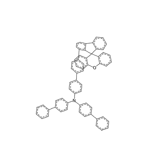 c1ccc(-c2ccc(N(c3ccc(-c4ccccc4)cc3)c3ccc(-c4ccc(-c5cccc6c5C5(c7ccccc7Oc7ccccc75)c5ccccc5-6)cc4)cc3)cc2)cc1